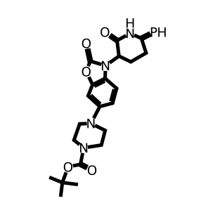 CC(C)(C)OC(=O)N1CCN(c2ccc3c(c2)oc(=O)n3C2CCC(=P)NC2=O)CC1